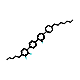 CCCCCCCC1CC=C(c2ccc(-c3ccc(-c4ccc(CCCCC)c(F)c4F)cc3)c(F)c2)CC1